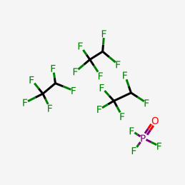 FC(F)C(F)(F)F.FC(F)C(F)(F)F.FC(F)C(F)(F)F.O=P(F)(F)F